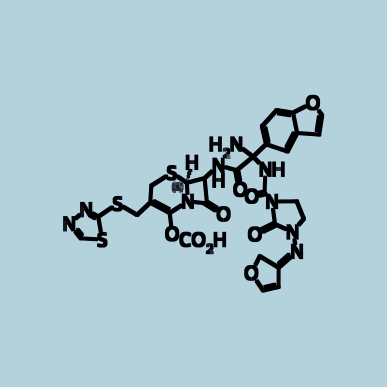 NC(NC(=O)N1CCN(N=C2C=COC2)C1=O)(C(=O)NC1C(=O)N2C(OC(=O)O)=C(CSc3nncs3)CS[C@@H]12)c1ccc2occc2c1